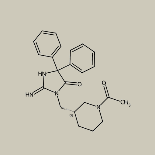 CC(=O)N1CCC[C@H](CN2C(=N)NC(c3ccccc3)(c3ccccc3)C2=O)C1